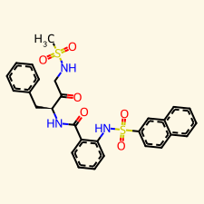 CS(=O)(=O)NCC(=O)[C@H](Cc1ccccc1)NC(=O)c1ccccc1NS(=O)(=O)c1ccc2ccccc2c1